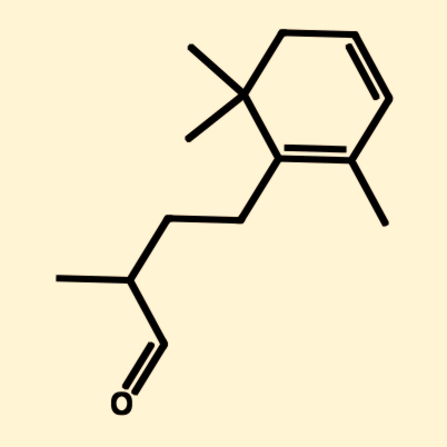 CC1=C(CCC(C)C=O)C(C)(C)CC=C1